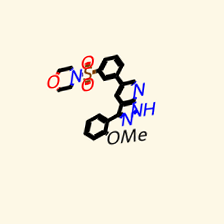 COc1ccccc1-c1n[nH]c2ncc(-c3cccc(S(=O)(=O)N4CCOCC4)c3)cc12